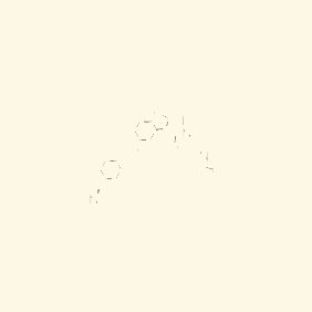 Cc1oc2ccc(OCc3ccc(C#N)cc3)cc2c1C(=O)N[C@H]1CCN(C(=O)OC(C)(C)C)C1